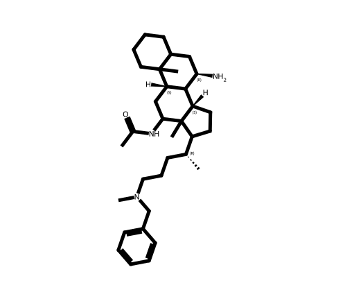 CC(=O)NC1C[C@H]2C([C@H](N)CC3CCCCC32C)[C@@H]2CCC([C@H](C)CCCN(C)Cc3ccccc3)C12C